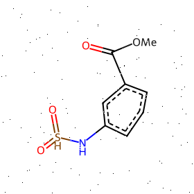 COC(=O)c1cccc(N[SH](=O)=O)c1